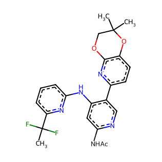 CC(=O)Nc1cc(Nc2cccc(C(C)(F)F)n2)c(-c2ccc3c(n2)OCC(C)(C)O3)cn1